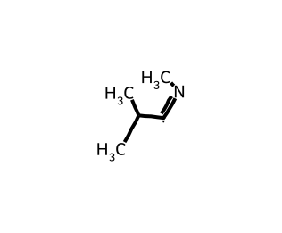 C/N=[C]\C(C)C